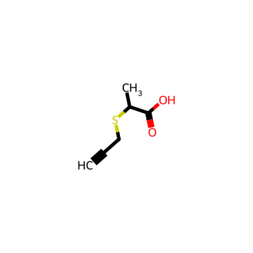 C#CCSC(C)C(=O)O